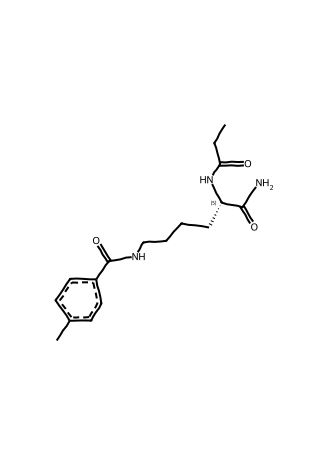 CCC(=O)N[C@@H](CCCCNC(=O)c1ccc(C)cc1)C(N)=O